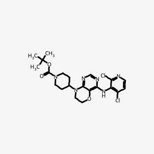 CC(C)(C)OC(=O)N1CCC(N2CCOc3c(Nc4c(Cl)ccnc4Cl)ncnc32)CC1